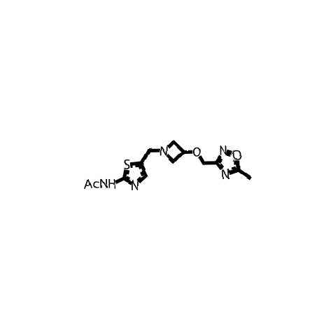 CC(=O)Nc1ncc(CN2CC(OCc3noc(C)n3)C2)s1